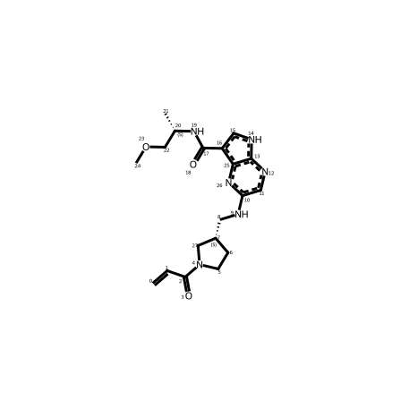 C=CC(=O)N1CC[C@@H](CNc2cnc3[nH]cc(C(=O)N[C@@H](C)COC)c3n2)C1